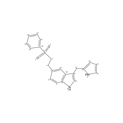 O=S(=O)(CCc1ccc2[nH]cc(Cc3ccc[nH]3)c2c1)c1ccccc1